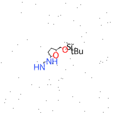 CC(C)(C)[Si](C)(C)OC[C@@H]1CC[C@H](NC=N)O1